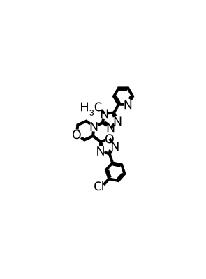 Cn1c(-c2ccccn2)nnc1N1CCOCC1c1nc(-c2cccc(Cl)c2)no1